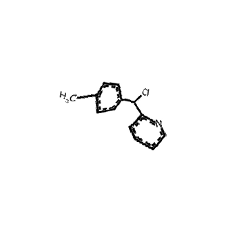 Cc1ccc(C(Cl)c2ccccn2)cc1